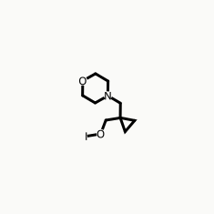 IOCC1(CN2CCOCC2)CC1